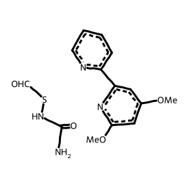 COc1cc(OC)nc(-c2ccccn2)c1.NC(=O)NSC=O